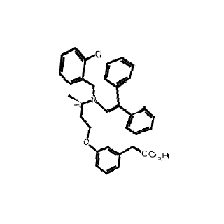 C[C@H](CCOc1cccc(CC(=O)O)c1)N(Cc1ccccc1Cl)CC(c1ccccc1)c1ccccc1